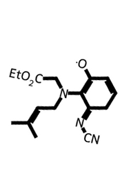 CCOC(=O)CN(CC=C(C)C)C1=C([O])C=CCC1=NC#N